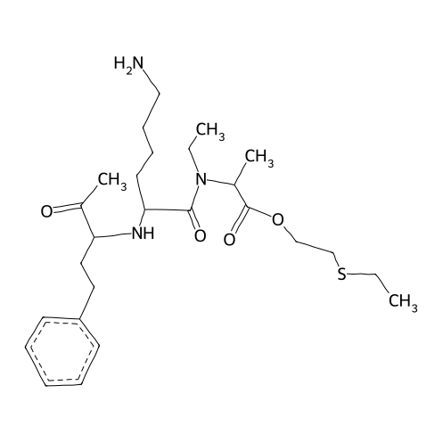 CCSCCOC(=O)C(C)N(CC)C(=O)C(CCCCN)NC(CCc1ccccc1)C(C)=O